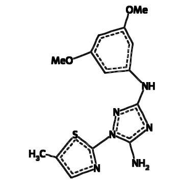 COc1cc(Nc2nc(N)n(-c3ncc(C)s3)n2)cc(OC)c1